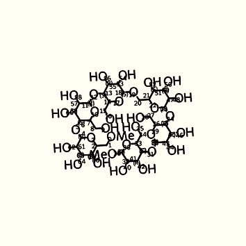 COCC1O[C@H](O[C@@H]2C(CO)O[C@H](O[C@@H]3C(CO)O[C@H](OCC4O[C@H](O[C@@H]5C(CO)O[C@H](O[C@@H]6C(CO)O[C@@H](OC)C(O)[C@H]6O)C(O)[C@H]5O)C(O)[C@@H](O)[C@@H]4O)C(O)[C@H]3O)C(O)[C@H]2O)C(O)[C@@H](O)[C@@H]1O